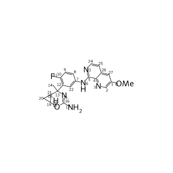 COc1cnc2c(Nc3ccc(F)c(C4(C)N=C(N)OC5C[C@H]54)c3)nccc2c1